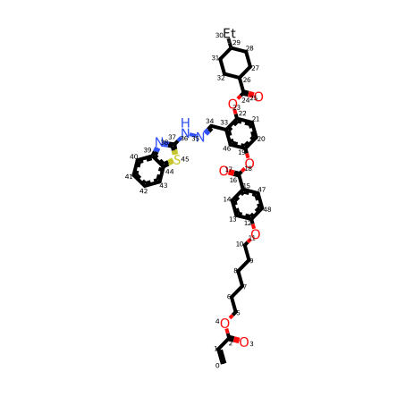 C=CC(=O)OCCCCCCOc1ccc(C(=O)Oc2ccc(OC(=O)C3CCC(CC)CC3)c(C=NNc3nc4ccccc4s3)c2)cc1